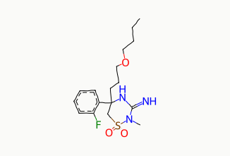 CCCCOCCCC1(c2ccccc2F)CS(=O)(=O)N(C)C(=N)N1